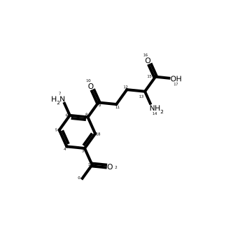 CC(=O)c1ccc(N)c(C(=O)CCC(N)C(=O)O)c1